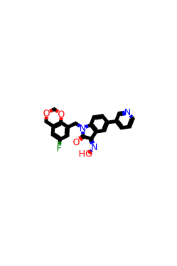 O=C1/C(=N\O)c2cc(-c3cccnc3)ccc2N1Cc1cc(F)cc2c1OCOC2